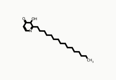 CCCCCCCCCCCCCCCCC1=NC=CC(=O)C1O